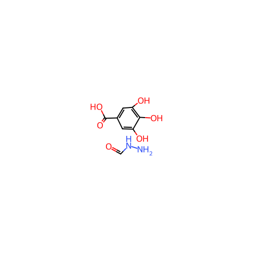 NNC=O.O=C(O)c1cc(O)c(O)c(O)c1